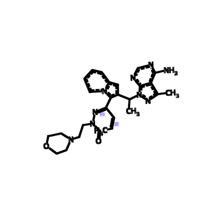 C/C=C\C(=N/N(C=O)CCN1CCOCC1)c1c(C(C)n2nc(C)c3c(N)ncnc32)cc2ccccn12